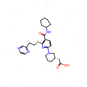 O=C(O)C[C@@H]1CCCN(c2ccc(C(=O)NC3CCCCC3)c(SCCc3cnccn3)n2)C1